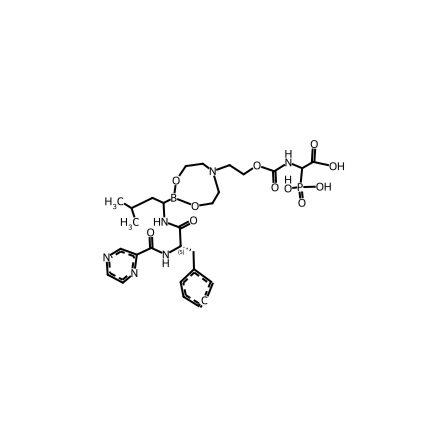 CC(C)CC(NC(=O)[C@H](Cc1ccccc1)NC(=O)c1cnccn1)B1OCCN(CCOC(=O)NC(C(=O)O)P(=O)(O)O)CCO1